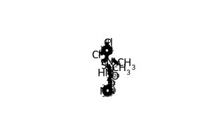 CC(C)Cn1c(-c2ccc(Cl)cc2Cl)csc1=NNC(=O)COc1cnccn1